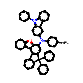 CC(C)(C)c1ccc(N(c2ccc3c(c2)c2ccccc2n3-c2ccccc2)c2cc3c(c4c2oc2ccccc24)-c2ccccc2C3(c2ccccc2)c2ccccc2)cc1